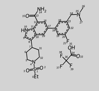 CCS(=O)(=O)N1CCC(c2c[nH]c3c(C(N)=O)cc(-c4cc(F)cc(CN(C)C)c4)cc23)CC1.O=C(O)C(F)(F)F